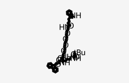 CC(C)(C)OC(=O)NCCCCC(NC(=O)OCC1c2ccccc2-c2ccccc21)C(=O)NCCOCCOCCOCCOCCNC(=O)CCCc1c[nH]c2ccccc12